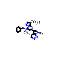 CC(C)n1cc(-c2cc(N(C)Cc3ccccc3)n3ncc(C(=O)O)c3n2)c2ccnnc21